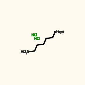 CCCCCCCCCCCCS(=O)(=O)O.Cl.Cl